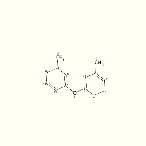 CC1=CCCC(OC2=CC(C(F)(F)F)CC=C2)=C1